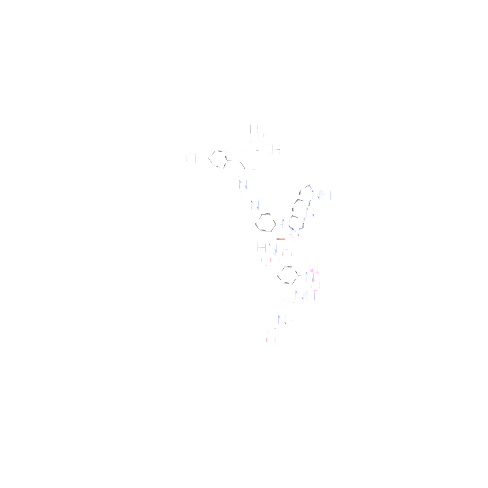 CC1(C)CCC(CN2CCN(c3ccc(C(=O)NS(=O)(=O)c4ccc(NC5CCN(C6COC6)CC5)c([N+](=O)[O-])c4)c(-n4ncc5nc6[nH]ccc6cc54)c3)CC2)=C(c2ccc(Cl)cc2)C1